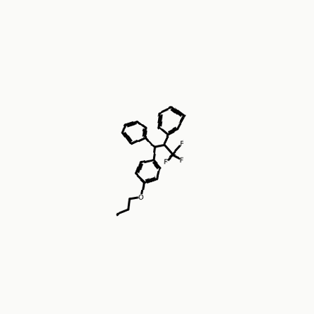 CCCOc1ccc(C(c2ccccc2)C(c2ccccc2)C(F)(F)F)cc1